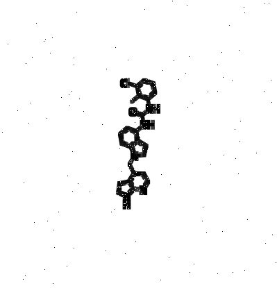 Cc1c(Cl)cccc1NC(=O)Nc1cccc2c1ccn2Cc1ccnc2[nH]ccc12